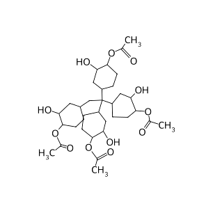 CC(=O)OC1CCC(CC(C2CCC(OC(C)=O)C(O)C2)(C2CCC(OC(C)=O)C(O)C2)C2CCC(OC(C)=O)C(O)C2)CC1O